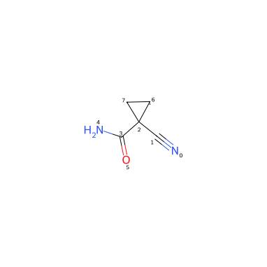 N#CC1(C(N)=O)[CH]C1